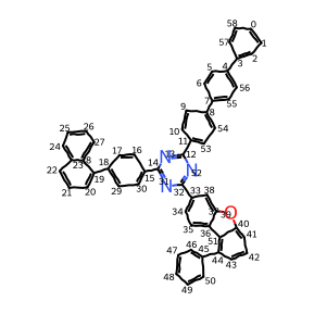 c1ccc(-c2ccc(-c3ccc(-c4nc(-c5ccc(-c6cccc7ccccc67)cc5)nc(-c5ccc6c(c5)oc5cccc(-c7ccccc7)c56)n4)cc3)cc2)cc1